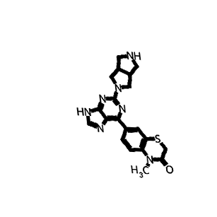 CN1C(=O)CSc2cc(-c3nc(N4CC5CNCC5C4)nc4[nH]cnc34)ccc21